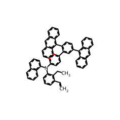 C=Cc1cccc(N(c2ccc(-c3cc(-c4c5ccccc5cc5ccccc45)ccc3-c3c4ccccc4cc4ccccc34)cc2)c2cccc3ccccc23)c1CC